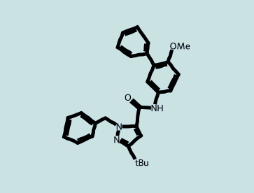 COc1ccc(NC(=O)c2cc(C(C)(C)C)nn2Cc2ccccc2)cc1-c1ccccc1